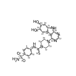 NS(=O)(=O)c1ccc(NC(=S)N2CCN(c3ncnc4[nH]c5cc(O)c(O)cc5c34)CC2)cc1